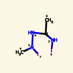 CC(NI)NN(C)I